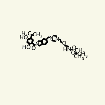 CC(C)c1cc(C(=O)N2Cc3ccc(CN4CCN(CCOCCNC(=O)OC(C)(C)C)CC4)cc3C2)c(O)cc1O